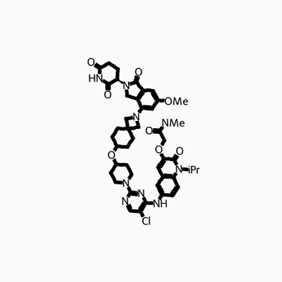 CNC(=O)COc1cc2cc(Nc3nc(N4CCC(OC5CCC6(CC5)CN(c5cc(OC)cc7c5CN([C@@H]5CCC(=O)NC5=O)C7=O)C6)CC4)ncc3Cl)ccc2n(C(C)C)c1=O